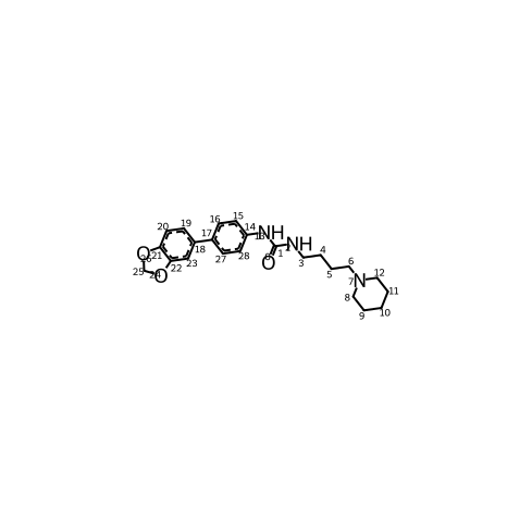 O=C(NCCCCN1CCCCC1)Nc1ccc(-c2ccc3c(c2)OCO3)cc1